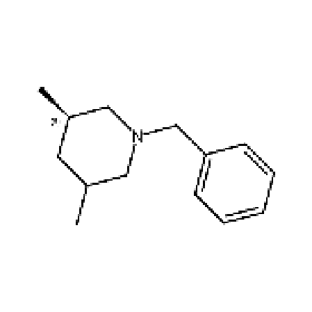 CC1C[C@@H](C)CN(Cc2ccccc2)C1